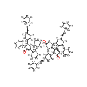 O=C1C(c2ccccc2)=C(c2ccc(C#Cc3ccccc3)cc2)C(c2ccc(Oc3ccc(C4=C(c5ccc(C#Cc6ccccc6)cc5)C(=O)C(c5ccccc5)=C4c4ccc(C#Cc5ccccc5)cc4)cc3)cc2)=C1c1ccccc1